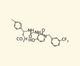 Cc1ccc([C@H](CC(=O)O)NC(=O)Nc2c(O)ccn(Cc3cccc(C(F)(F)F)c3)c2=O)cc1